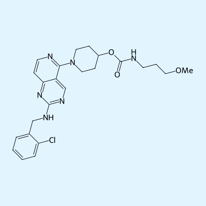 COCCCNC(=O)OC1CCN(c2nccc3nc(NCc4ccccc4Cl)ncc23)CC1